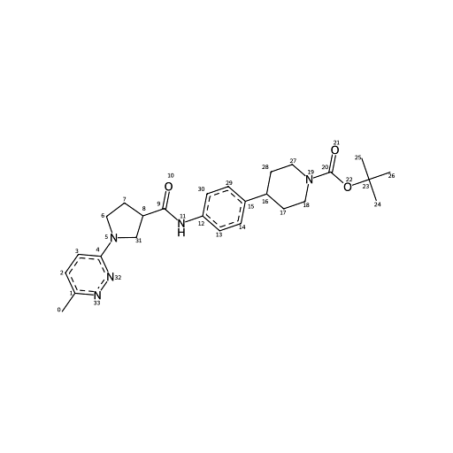 Cc1ccc(N2CCC(C(=O)Nc3ccc(C4CCN(C(=O)OC(C)(C)C)CC4)cc3)C2)nn1